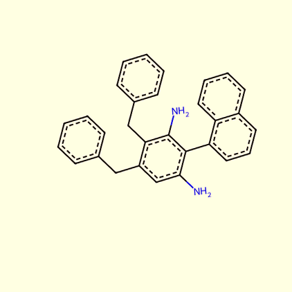 Nc1cc(Cc2ccccc2)c(Cc2ccccc2)c(N)c1-c1cccc2ccccc12